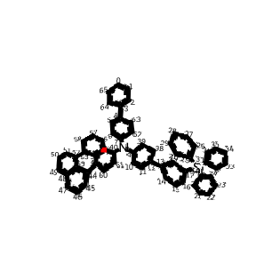 c1ccc(-c2ccc(N(c3ccc(-c4cccc([Si](c5ccccc5)(c5ccccc5)c5ccccc5)c4)cc3)c3ccc(-c4cccc5cccc(-c6ccccc6)c45)cc3)cc2)cc1